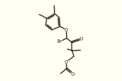 CC(=O)OCC(C)(C)C(=O)C(Br)Oc1ccc(C)c(C)c1